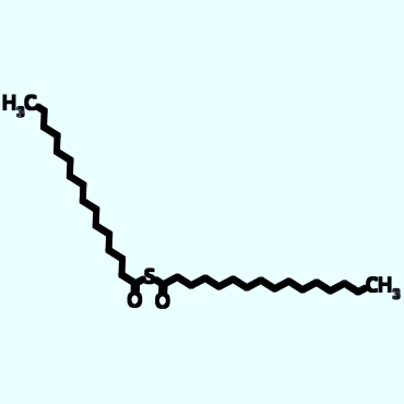 CCCCCCCCCCCCCCCC(=O)SC(=O)CCCCCCCCCCCCCCC